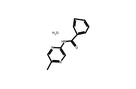 Cc1cnc(NC(=O)c2ccccc2)cn1.O